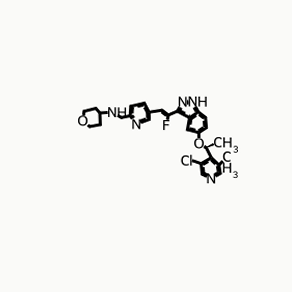 Cc1cncc(Cl)c1[C@H](C)Oc1ccc2[nH]nc(/C(F)=C/c3ccc(CNC4CCOCC4)nc3)c2c1